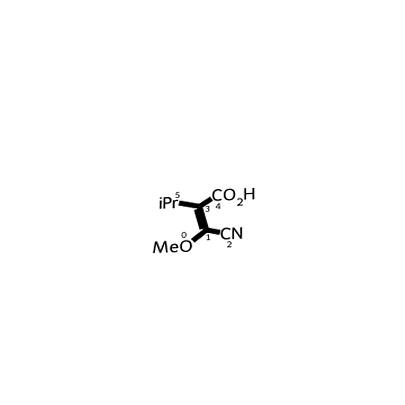 COC(C#N)=C(C(=O)O)C(C)C